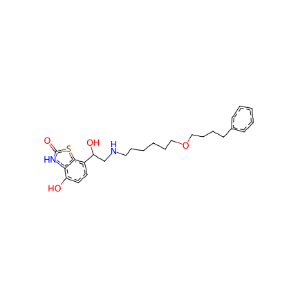 O=c1[nH]c2c(O)ccc(C(O)CNCCCCCCOCCCCc3ccccc3)c2s1